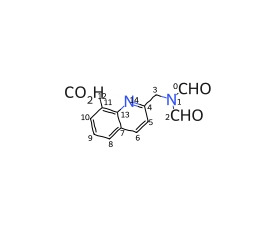 O=CN(C=O)Cc1ccc2cccc(C(=O)O)c2n1